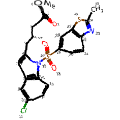 COC(=O)CCCc1cc2cc(Cl)ccc2n1S(=O)(=O)c1ccc2nc(C)sc2c1